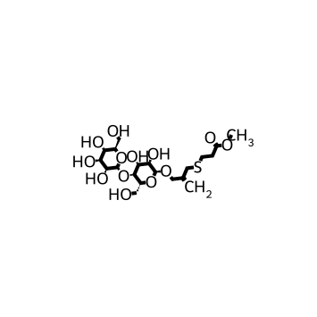 C=C(CO[C@H]1O[C@H](CO)[C@H](O[C@@H]2O[C@H](CO)[C@H](O)[C@H](O)[C@H]2O)[C@H](O)[C@H]1O)CSCCC(=O)OC